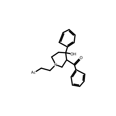 CC(=O)CCN1CCC(O)(c2ccccc2)C(C(=O)c2ccccc2)C1